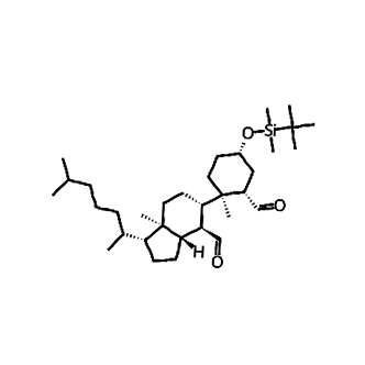 CC(C)CCCC(C)[C@H]1CC[C@H]2[C@H](C=O)[C@@H]([C@@]3(C)CC[C@H](O[Si](C)(C)C(C)(C)C)C[C@@H]3C=O)CC[C@]12C